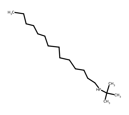 CCCCCCCCCCCCCCPC(C)(C)C